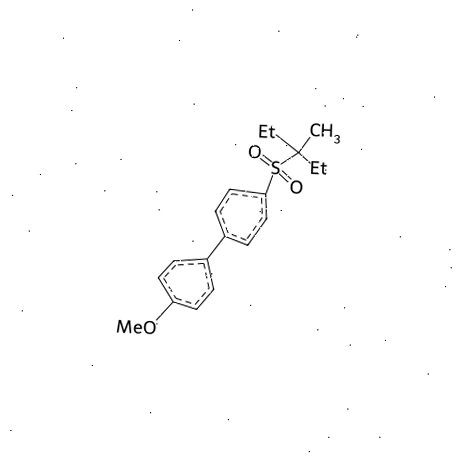 CCC(C)(CC)S(=O)(=O)c1ccc(-c2ccc(OC)cc2)cc1